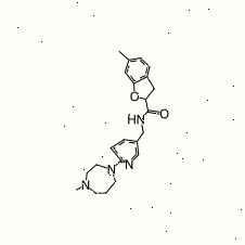 Cc1ccc2c(c1)OC(C(=O)NCc1ccc(N3CCCN(C)CC3)nc1)C2